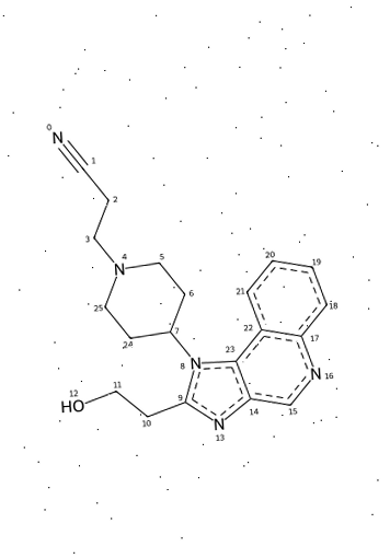 N#CCCN1CCC(n2c(CCO)nc3cnc4ccccc4c32)CC1